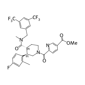 COC(=O)c1ccc(C(=O)N2CC[C@@H](C(=O)N(C)Cc3cc(C(F)(F)F)cc(C(F)(F)F)c3)[C@H](c3ccc(F)cc3C)C2)nc1